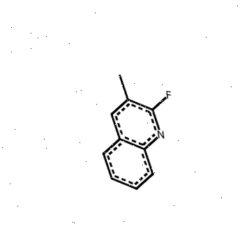 Cc1cc2ccccc2nc1F